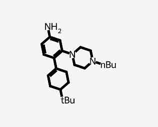 CCCCN1CCN(c2cc(N)ccc2C2=CCC(C(C)(C)C)CC2)CC1